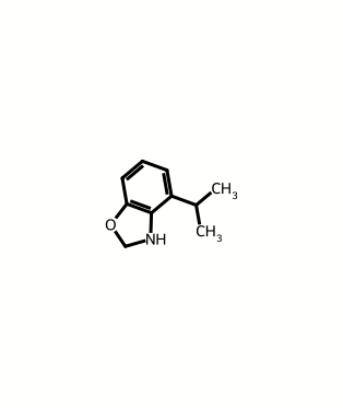 CC(C)c1cccc2c1NCO2